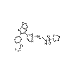 COc1cccc(-c2nc3occn3c2-c2ccnc(NCCNS(=O)(=O)c3ccccc3)n2)c1